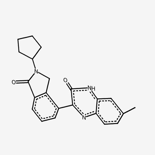 Cc1ccc2nc(-c3cccc4c3CN(C3CCCC3)C4=O)c(=O)[nH]c2c1